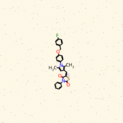 Cc1cc(/C=C2/SC(=O)N(c3ccccc3)C2=O)c(C)n1-c1ccc(OCc2ccc(F)cc2)cc1